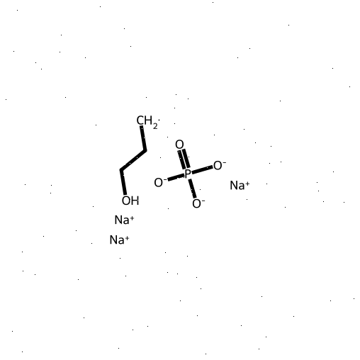 O=P([O-])([O-])[O-].[CH2]CCO.[Na+].[Na+].[Na+]